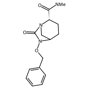 CNC(=O)[C@@H]1CCC2CN1C(=O)N2OCc1ccccc1